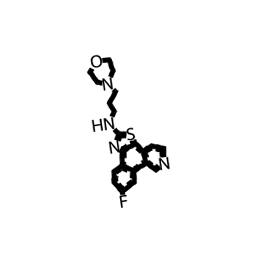 Fc1ccc2c(c1)c1cnccc1c1sc(NCCCN3CCOCC3)nc21